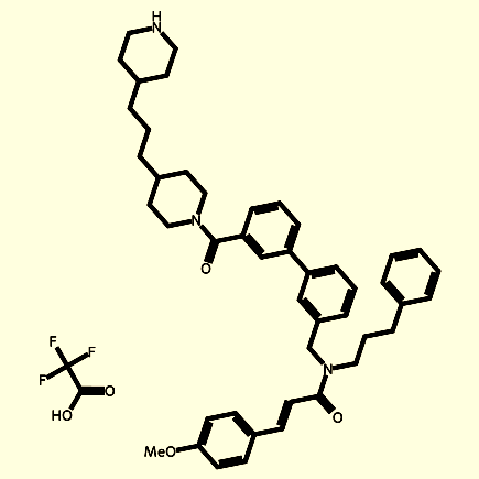 COc1ccc(/C=C/C(=O)N(CCCc2ccccc2)Cc2cccc(-c3cccc(C(=O)N4CCC(CCCC5CCNCC5)CC4)c3)c2)cc1.O=C(O)C(F)(F)F